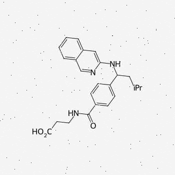 CC(C)CC(Nc1cc2ccccc2cn1)c1ccc(C(=O)NCCC(=O)O)cc1